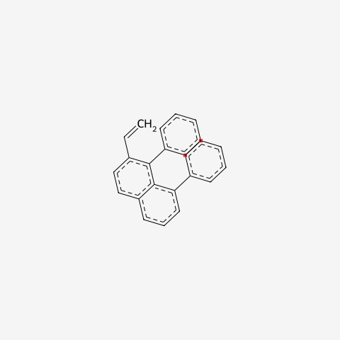 C=Cc1ccc2cccc(-c3ccccc3)c2c1-c1ccccc1